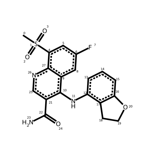 CS(=O)(=O)c1cc(F)cc2c(Nc3cccc4c3CCO4)c(C(N)=O)cnc12